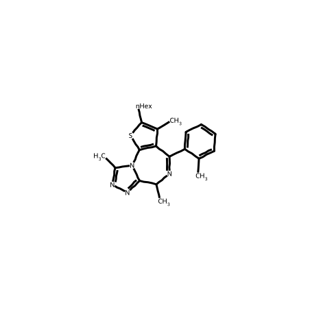 CCCCCCc1sc2c(c1C)C(c1ccccc1C)=NC(C)c1nnc(C)n1-2